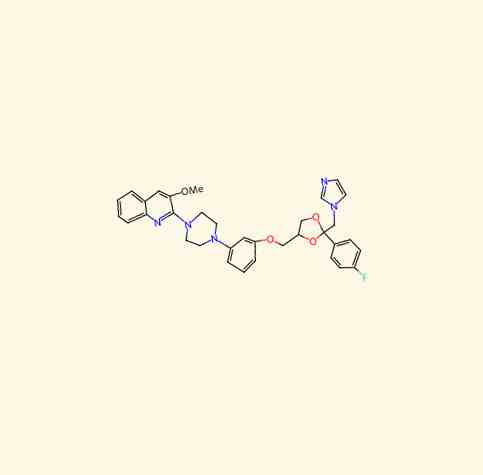 COc1cc2ccccc2nc1N1CCN(c2cccc(OCC3COC(Cn4ccnc4)(c4ccc(F)cc4)O3)c2)CC1